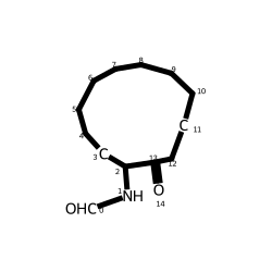 O=CNC1CCCCCCCCCCC1=O